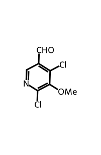 COc1c(Cl)ncc(C=O)c1Cl